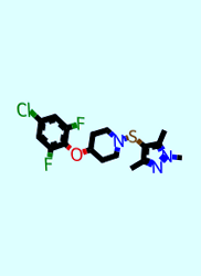 Cc1nn(C)c(C)c1SN1CCC(Oc2c(F)cc(Cl)cc2F)CC1